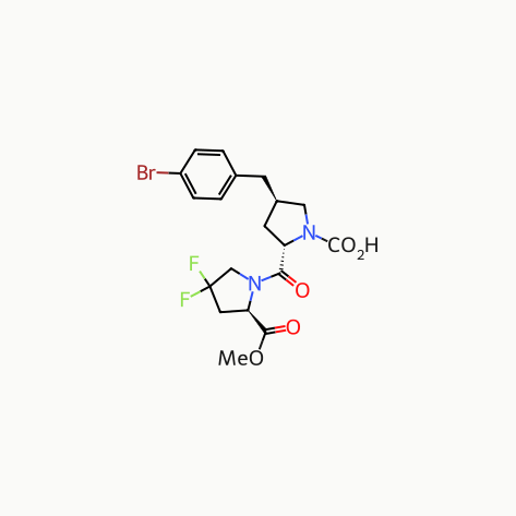 COC(=O)[C@H]1CC(F)(F)CN1C(=O)[C@@H]1C[C@@H](Cc2ccc(Br)cc2)CN1C(=O)O